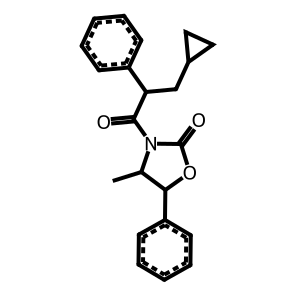 CC1C(c2ccccc2)OC(=O)N1C(=O)C(CC1CC1)c1ccccc1